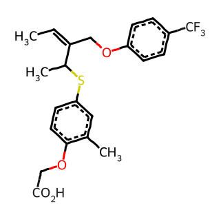 CC=C(COc1ccc(C(F)(F)F)cc1)C(C)Sc1ccc(OCC(=O)O)c(C)c1